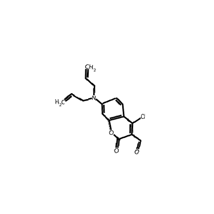 C=CCN(CC=C)c1ccc2c(Cl)c(C=O)c(=O)oc2c1